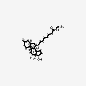 CC(C)(C)CNC(=O)CCCCCCC[C@@H]1C[C@H]2CC(=O)CC[C@]2(C)[C@H]2CC[C@]3(C)[C@@H](O)CC[C@H]3[C@H]12